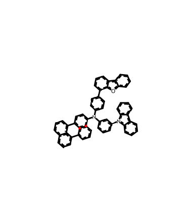 c1ccc(-c2cccc3cccc(-c4ccc(N(c5ccc(-c6cccc7c6oc6ccccc67)cc5)c5cccc(-n6c7ccccc7c7ccccc76)c5)cc4)c23)cc1